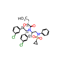 CCC(CN(c1ccccc1)S(=O)(=O)C1CC1)N1C(=O)[C@@H](CC(=O)O)O[C@H](c2cccc(Cl)c2)[C@H]1c1ccc(Cl)cc1